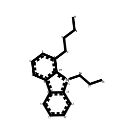 CCCCc1cccc2c3ccccc3n(CCC)c12